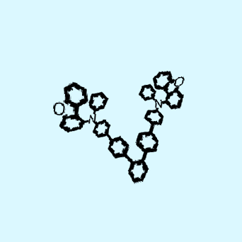 c1ccc(N(c2ccc(-c3ccc(-c4ccccc4-c4ccc(-c5ccc(N(c6ccccc6)c6cccc7oc8ccccc8c67)cc5)cc4)cc3)cc2)c2cccc3oc4ccccc4c23)cc1